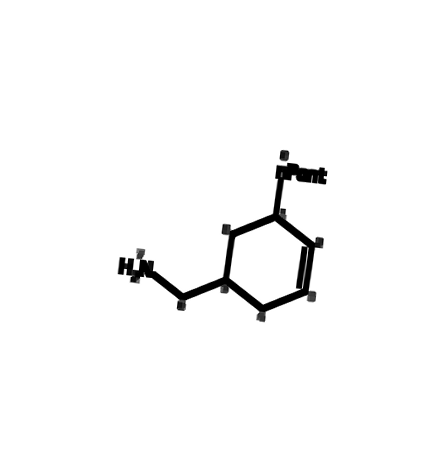 CCCCCC1C=CCC(CN)C1